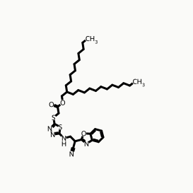 CCCCCCCCCCCCC(CCCCCCCCCC)COC(=O)CSc1nnc(NCC(C#N)c2nc3ccccc3o2)s1